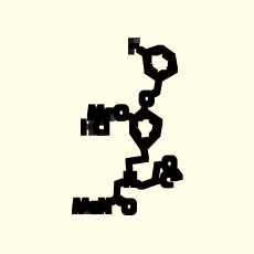 CNC(=O)CN(CCc1ccc(OCc2cccc(F)c2)c(OC)c1)CC1CCOC1.Cl